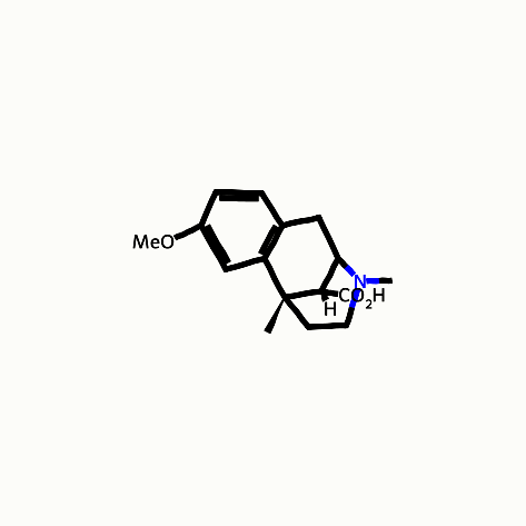 COc1ccc2c(c1)[C@@]1(C)CCN(C)C(C2)[C@@H]1C(=O)O